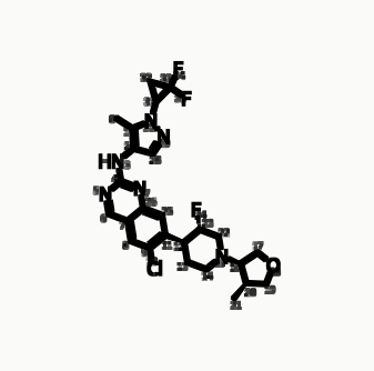 Cc1c(Nc2ncc3cc(Cl)c([C@@H]4CCN([C@H]5COC[C@H]5C)C[C@H]4F)cc3n2)cnn1C1CC1(F)F